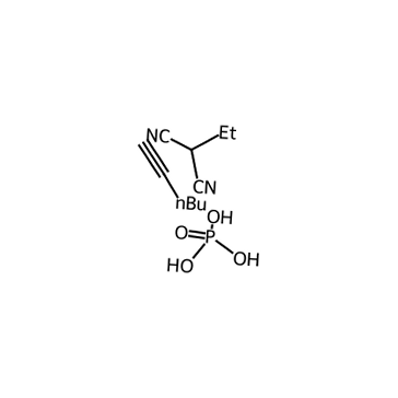 C#CCCCC.CCC(C#N)C#N.O=P(O)(O)O